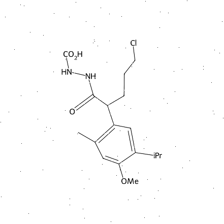 COc1cc(C)c(C(CCCCl)C(=O)NNC(=O)O)cc1C(C)C